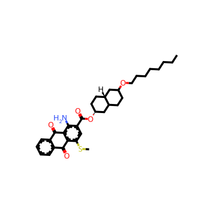 CCCCCCCCOC1CCC2C[C@H](OC(=O)c3cc(SC)c4c(c3N)C(=O)c3ccccc3C4=O)CC[C@@H]2C1